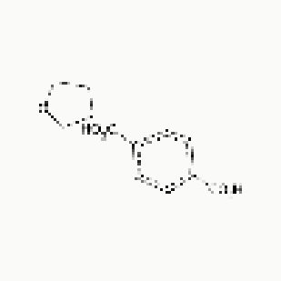 C1CCOC1.O=C(O)c1ccc(C(=O)O)cc1